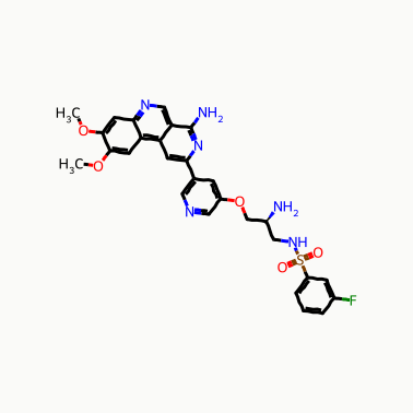 COc1cc2ncc3c(N)nc(-c4cncc(OC[C@@H](N)CNS(=O)(=O)c5cccc(F)c5)c4)cc3c2cc1OC